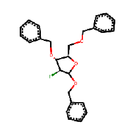 F[C@@H]1C(OCc2ccccc2)O[C@H](COCc2ccccc2)[C@H]1OCc1ccccc1